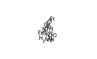 CCOc1ncc(S(=O)(=O)N2CCN(CC)CC2)cc1-c1nc2c(N)n(C)nc2c(=O)[nH]1